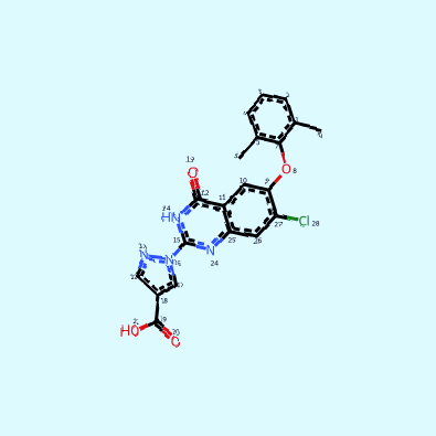 Cc1cccc(C)c1Oc1cc2c(=O)[nH]c(-n3cc(C(=O)O)cn3)nc2cc1Cl